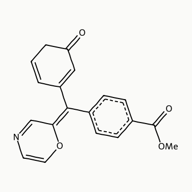 COC(=O)c1ccc(C(C2=CC(=O)CC=C2)=C2C=NC=CO2)cc1